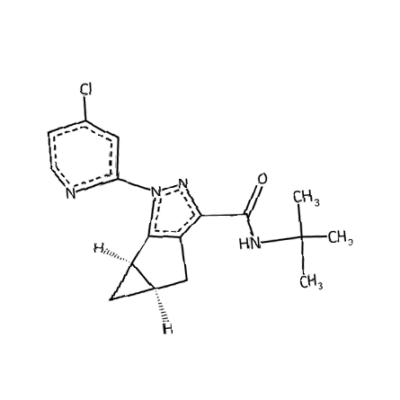 CC(C)(C)NC(=O)c1nn(-c2cc(Cl)ccn2)c2c1C[C@H]1C[C@@H]21